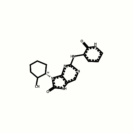 N#CC1CCCC[C@@H]1n1c(=O)[nH]c2cnc(Nc3ccc[nH]c3=O)nc21